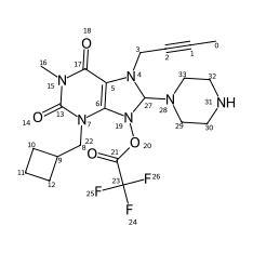 CC#CCN1c2c(n(CC3CCC3)c(=O)n(C)c2=O)N(OC(=O)C(F)(F)F)C1N1CCNCC1